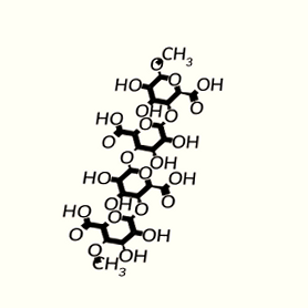 CO[C@@H]1O[C@@H](C(=O)O)[C@@H](O[C@@H]2OC(C(=O)O)[C@@H](O[C@@H]3O[C@@H](C(=O)O)[C@@H](O[C@@H]4OC(C(=O)O)[C@@H](OC)[C@@H](O)C4O)C(O)C3O)[C@H](O)C2O)C(O)C1O